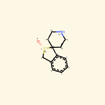 [O-][S@@+]1Cc2ccccc2C12CCNCC2